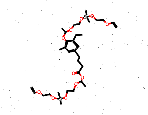 C=COCCO[Si](C)(C)OCCOC(C)OC(=O)CCCc1cc(C)c(OC(C)OCCO[Si](C)(C)OCCOC=C)c(CC)c1